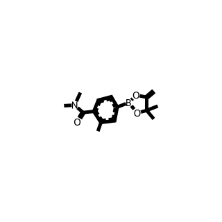 C=C1OB(c2ccc(C(=O)N(C)C)c(C)c2)OC1(C)C